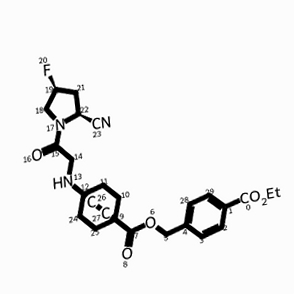 CCOC(=O)c1ccc(COC(=O)C23CCC(NCC(=O)N4C[C@@H](F)C[C@H]4C#N)(CC2)CC3)cc1